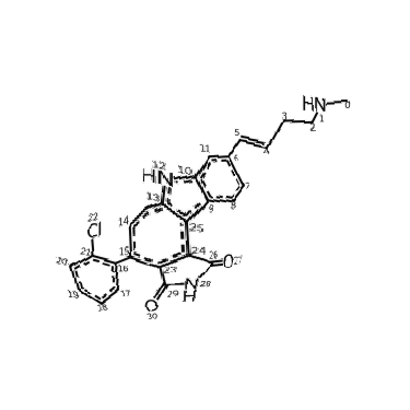 CNCCC=Cc1ccc2c(c1)[nH]c1cc(-c3ccccc3Cl)c3c(c12)C(=O)NC3=O